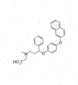 CN(CCC(Oc1ccc(Oc2ccc3ccccc3c2)cc1)c1ccccc1)CC(=O)O